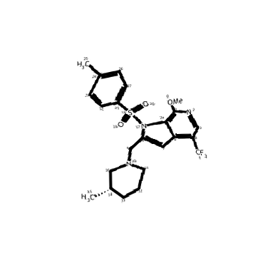 COc1ncc(C(F)(F)F)c2cc(CN3CCC[C@H](C)C3)n(S(=O)(=O)c3ccc(C)cc3)c12